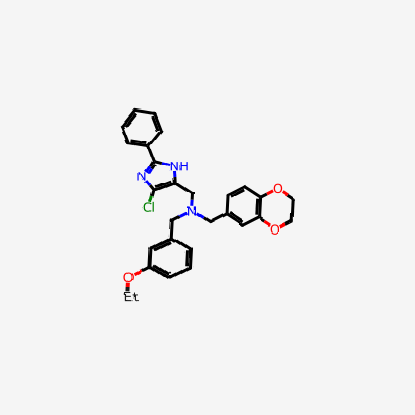 CCOc1cccc(CN(Cc2ccc3c(c2)OCCO3)Cc2[nH]c(-c3ccccc3)nc2Cl)c1